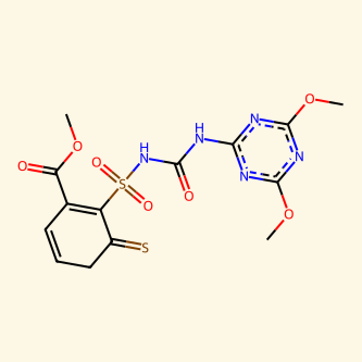 COC(=O)C1=C(S(=O)(=O)NC(=O)Nc2nc(OC)nc(OC)n2)C(=S)CC=C1